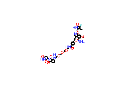 CC[C@@H]1[C@H](F)C(=O)N[C@@H]1COc1ncc(C#Cc2ccc(C(=O)NCCOCCOCCOCCNc3cccc4c3C(=O)N(C3CCC(=O)NC3=O)C4=O)cc2)c2c(C(N)=O)cc(OC)cc12